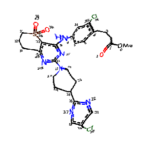 COC(=O)Cc1ccc(Nc2nc(N3CCC(c4ncc(Cl)cn4)CC3)nc3c2S(=O)(=O)CCC3)cc1Cl